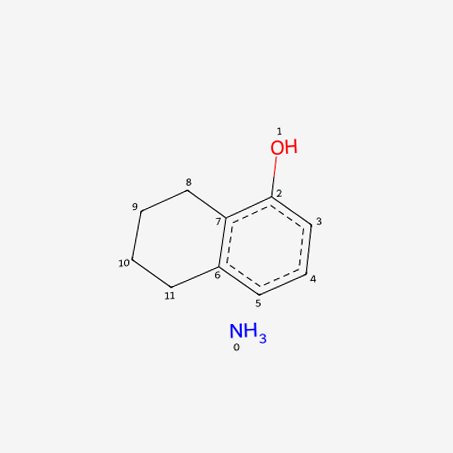 N.Oc1cccc2c1CCCC2